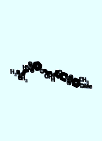 COc1ccc(S(=O)(=O)N2CCC3(CC2)CC(NCC(O)COc2cccc(S(=O)(=O)NCCCN(C)C)c2)CO3)cc1C